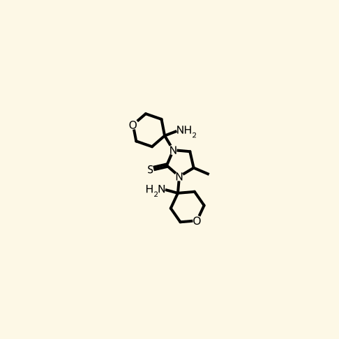 CC1CN(C2(N)CCOCC2)C(=S)N1C1(N)CCOCC1